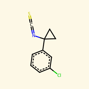 S=C=NC1(c2cccc(Cl)c2)CC1